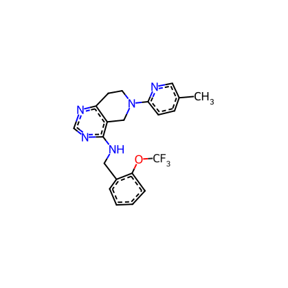 Cc1ccc(N2CCc3ncnc(NCc4ccccc4OC(F)(F)F)c3C2)nc1